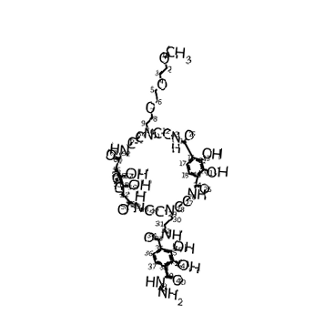 COCCOCCOCCN1CCNC(=O)c2ccc(c(O)c2O)C(=O)NCCN(CCNC(=O)c2ccc(C(=O)NN)c(O)c2O)CCNC(=O)c2ccc(c(O)c2O)C(=O)NCC1